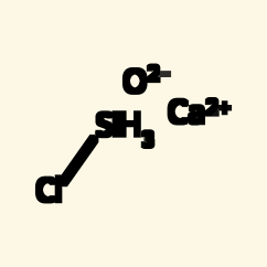 [Ca+2].[O-2].[SiH3]Cl